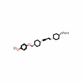 CCCCC[C@H]1CC[C@H](C=CC#C[C@H]2CC[C@H](COc3ccc(OCC)cc3)CC2)CC1